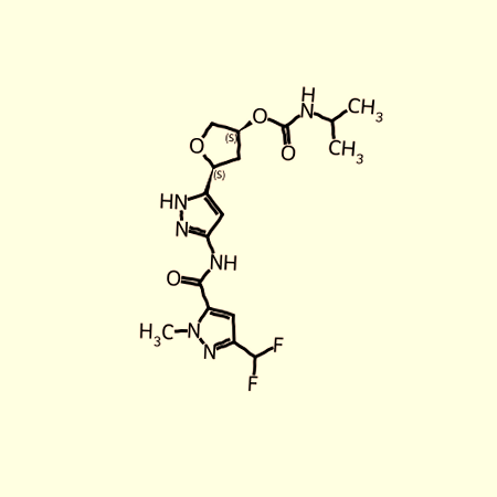 CC(C)NC(=O)O[C@@H]1CO[C@H](c2cc(NC(=O)c3cc(C(F)F)nn3C)n[nH]2)C1